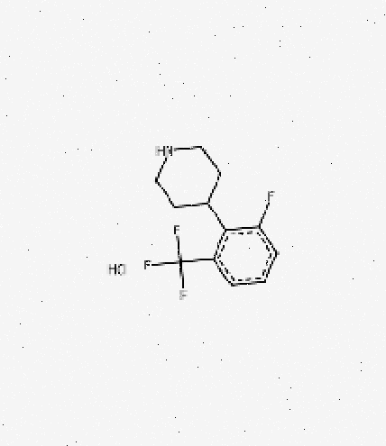 Cl.Fc1cccc(C(F)(F)F)c1C1CCNCC1